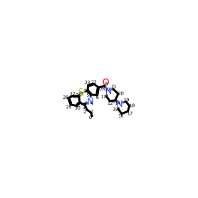 CCCC1=Nc2cc(C(=O)N3CCC(N4CCCCC4)CC3)ccc2Sc2ccccc21